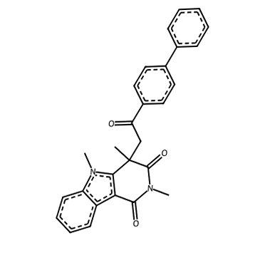 CN1C(=O)c2c(n(C)c3ccccc23)C(C)(CC(=O)c2ccc(-c3ccccc3)cc2)C1=O